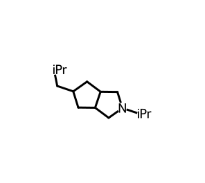 CC(C)CC1CC2CN(C(C)C)CC2C1